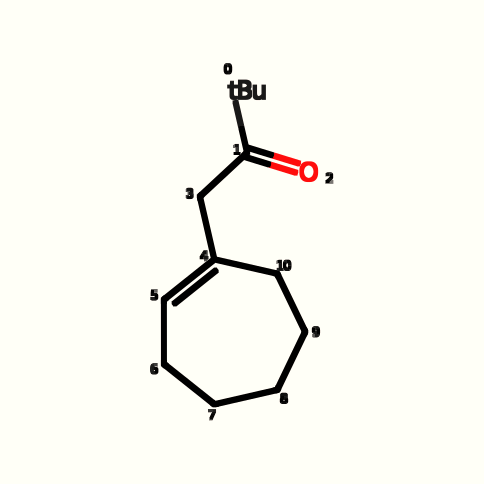 CC(C)(C)C(=O)CC1=CCCCCC1